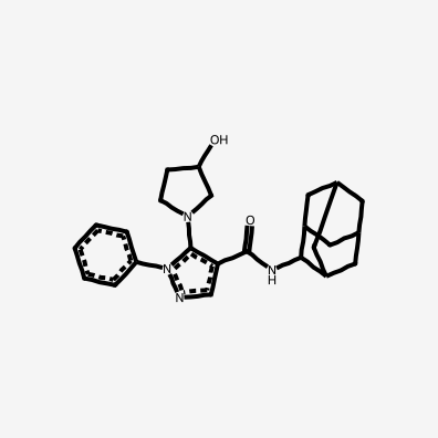 O=C(NC1C2CC3CC(C2)CC1C3)c1cnn(-c2ccccc2)c1N1CCC(O)C1